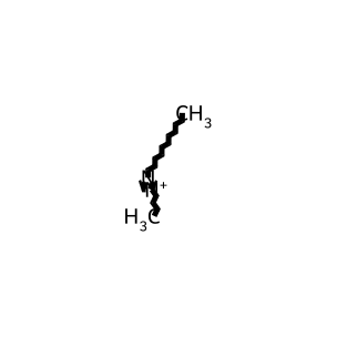 CCCCCCCCCCCn1cc[n+](CCCC)c1